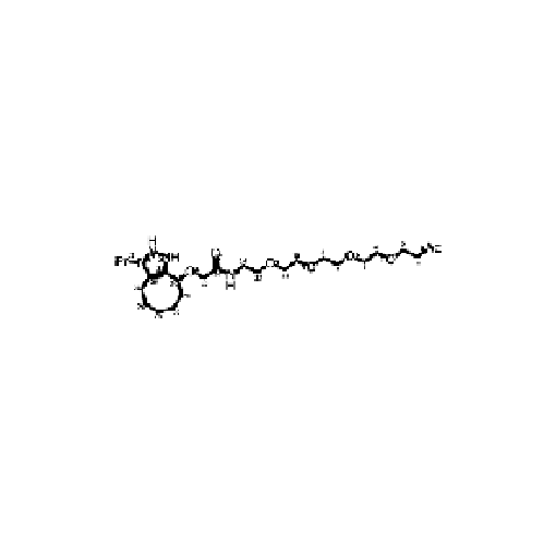 CC(=O)CCOCCOCCOCCOCCNC(=O)COC1CCCCCC2=C1NNN2C(C)C